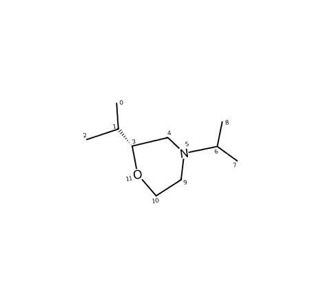 CC(C)[C@@H]1CN(C(C)C)CCO1